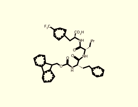 CC(C)C[C@H](NC(=O)[C@H](CCc1ccccc1)NC(=O)OCC1c2ccccc2-c2ccccc21)C(=O)N[C@@H](Cc1ccc(C(F)(F)F)cc1)C(=O)O